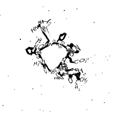 CCCC[C@@H](C(=O)N[C@H]1CSSC[C@@H](C(N)=O)NC(=O)[C@H](Cc2c[nH]c3ccccc23)NC(=O)[C@H](CCCNC(=N)N)NC(=O)[C@@H](Cc2ccccc2)NC(=O)[C@H](Cc2cnc[nH]2)NC(=O)C(CCC(=O)O)NC1=O)N(C(N)=O)C(=O)[C@H]1CC1(C)C